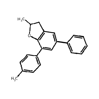 Cc1ccc(-c2cc(-c3ccccc3)cc3c2OC(C)C3)cc1